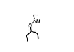 [CH2]NOC(CC)CC